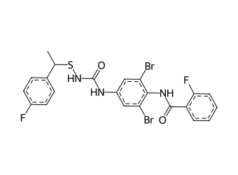 CC(SNC(=O)Nc1cc(Br)c(NC(=O)c2ccccc2F)c(Br)c1)c1ccc(F)cc1